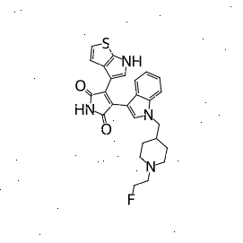 O=C1NC(=O)C(c2cn(CC3CCN(CCF)CC3)c3ccccc23)=C1c1c[nH]c2sccc12